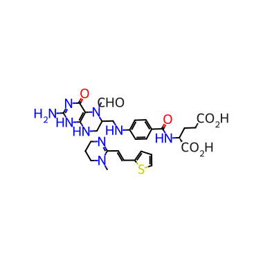 CN1CCCN=C1/C=C/c1cccs1.Nc1nc(=O)c2c([nH]1)NCC(CNc1ccc(C(=O)N[C@@H](CCC(=O)O)C(=O)O)cc1)N2C=O